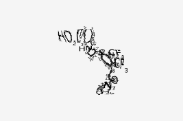 O=C(O)C1CCCC(CNc2cccc(Sc3ccc(C=CC(=O)N4CCOCC4)c(C(F)(F)F)c3C(F)(F)F)c2)C1